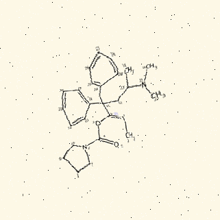 C/C=C(\OC(=O)N1CCCC1)C(CC(C)N(C)C)(c1ccccc1)c1ccccc1